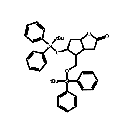 CC(C)(C)[Si](OCC1C(O[Si](c2ccccc2)(c2ccccc2)C(C)(C)C)CC2OC(=O)CC21)(c1ccccc1)c1ccccc1